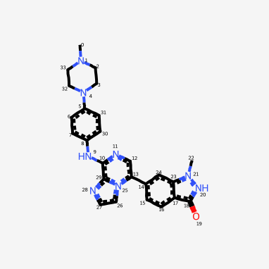 CN1CCN(c2ccc(Nc3ncc(-c4ccc5c(=O)[nH]n(C)c5c4)n4ccnc34)cc2)CC1